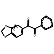 O=C(C(=O)c1ccccc1)C1=CC=C2OCOC23OCOC13